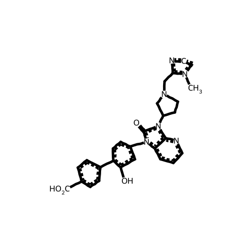 Cn1ccnc1CN1CCC(n2c(=O)n(-c3ccc(-c4ccc(C(=O)O)cc4)c(O)c3)c3cccnc32)C1